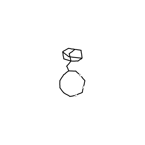 [CH](C1CCCCCCCCCCC1)C12CC3CC(CC(C3)C1)C2